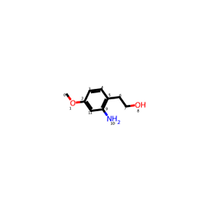 COc1ccc(CCO)c(N)c1